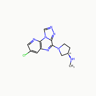 CN[C@@H]1CCN(c2nc3cc(Cl)cnc3n3cnnc23)C1